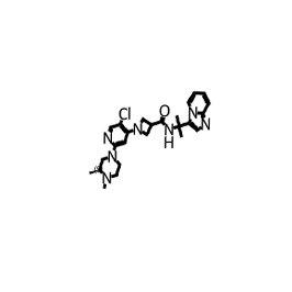 C[C@H]1CN(c2cc(N3CC(C(=O)NC(C)(C)c4cnc5ccccn45)C3)c(Cl)cn2)CCN1C